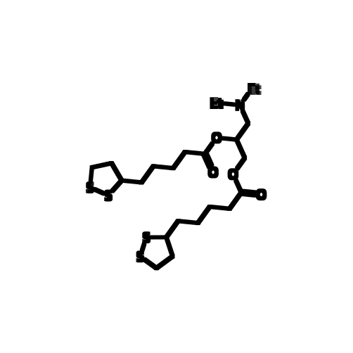 CCN(CC)CC(COC(=O)CCCCC1CCSS1)OC(=O)CCCCC1CCSS1